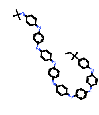 CCC(C)(C)c1ccc(N=C2C=CC(=Nc3ccc(N=C4C=CC(=Nc5ccc(N=C6C=CC(=Nc7ccc(N=C8C=CC(=NC(C)(C)C)C=C8)cc7)C=C6)cc5)C=C4)cc3)C=C2)cc1